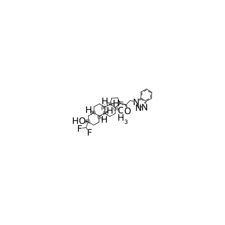 C[C@]12CC[C@H]3[C@@H](CC[C@@H]4C[C@@](O)(C(F)F)CC[C@@H]43)[C@@H]1CC[C@H]2C(=O)Cn1nnc2ccccc21